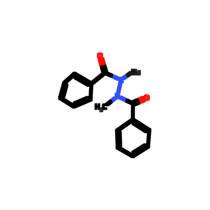 CCC(C)N(C(=O)c1ccccc1)N(C)C(=O)c1ccccc1